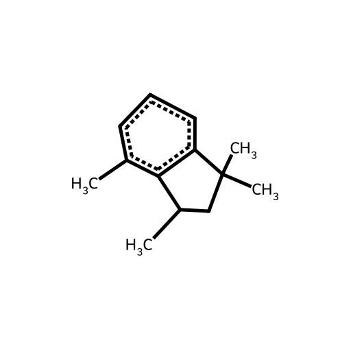 Cc1cccc2c1C(C)CC2(C)C